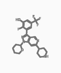 Oc1cc(C(F)(F)F)cc(-c2nn(C3CCCCO3)c3cc(C4CCNCC4)ncc23)c1F